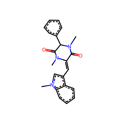 CN1C(=O)C(c2ccccc2)N(C)C(=O)C1=Cc1cn(C)c2ccccc12